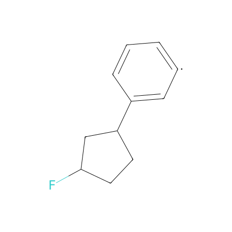 FC1CCC(c2c[c]ccc2)C1